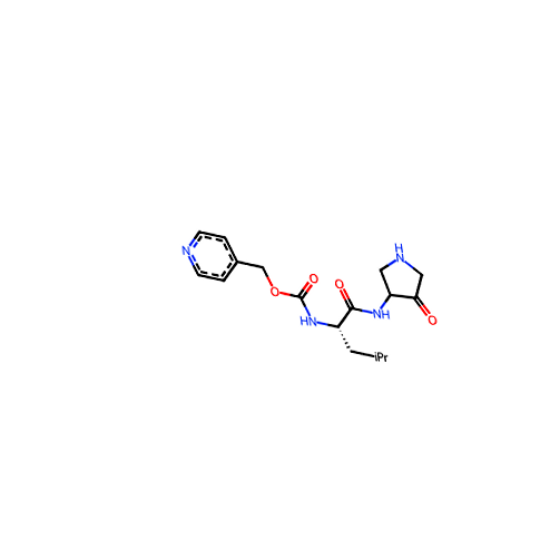 CC(C)C[C@H](NC(=O)OCc1ccncc1)C(=O)NC1CNCC1=O